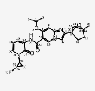 CC(C)Oc1cc2nc([C@]34CC[C@](C)(C3)OC4)cn2cc1C(=O)Nc1cccn(C2C[C@H]2F)c1=O